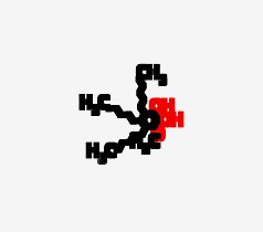 CCCCCCc1c(O)c(O)c(OC)c(CCCCCC)c1CCCCCC